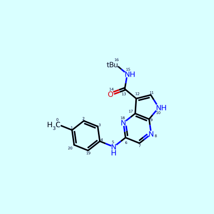 Cc1ccc(Nc2cnc3[nH]cc(C(=O)NC(C)(C)C)c3n2)cc1